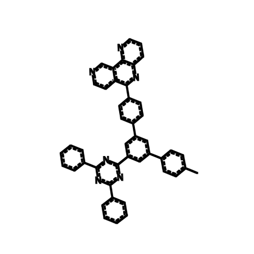 Cc1ccc(-c2cc(-c3ccc(-c4nc5cccnc5c5cnccc45)cc3)cc(-c3nc(-c4ccccc4)nc(-c4ccccc4)n3)c2)cc1